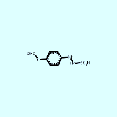 O=COc1ccc(NPS(=O)(=O)O)cc1